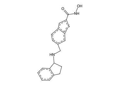 O=C(NO)c1cc2ccc(CNC3CCc4ccccc43)cc2s1